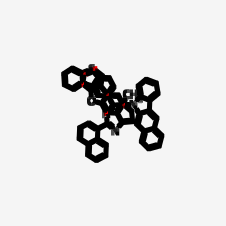 CC1C/C=C(c2cc3oc4ccccc4c3cc2-n2c3ccccc3c3cc4ccccc4cc32)/N=C(c2cccc3ccccc23)\N=C/1c1ccc2sc3ccccc3c2c1